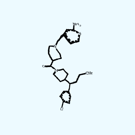 COCCC(c1ccc(Cl)cc1)C1CCN(C(=O)C2CCN(Cc3ccnc(N)c3)CC2)CC1